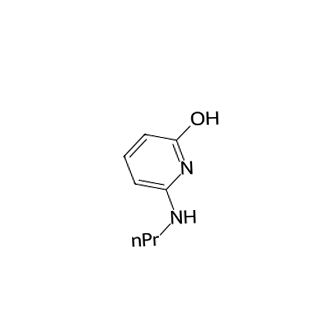 CCCNc1cccc(O)n1